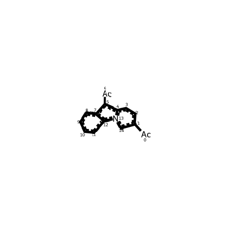 CC(=O)c1ccc2c(C(C)=O)c3ccccc3n2c1